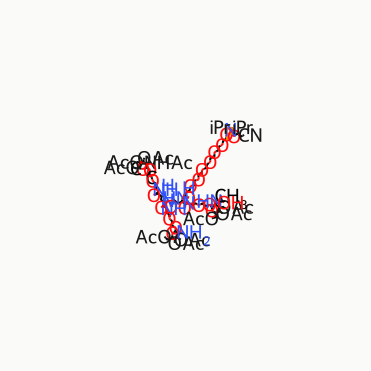 CC(=O)NC1C(OCCOCCNC(=O)CCC(NC(=O)CCC(NC(=O)CCOCCOCCOCCOCCOCCOCCOP(OCCC#N)N(C(C)C)C(C)C)C(=O)NCCOCCOC2OC(COC(C)=O)C(OC(C)=O)C(OC(C)=O)C2NC(C)O)C(=O)NCCOCCOC2OC(COC(C)=O)C(OC(C)=O)C(OC(C)=O)C2N)OC(COC(C)=O)C(OC(C)=O)C1OC(C)=O